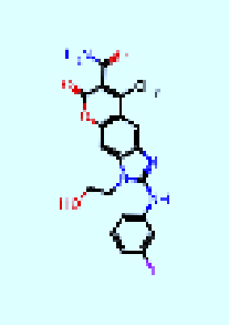 Cc1c(C(N)=O)c(=O)oc2cc3c(cc12)nc(Nc1cccc(I)c1)n3CCO